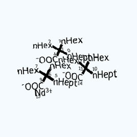 CCCCCCCC(CCCCCC)(CCCCCC)C(=O)[O-].CCCCCCCC(CCCCCC)(CCCCCC)C(=O)[O-].CCCCCCCC(CCCCCC)(CCCCCC)C(=O)[O-].[Nd+3]